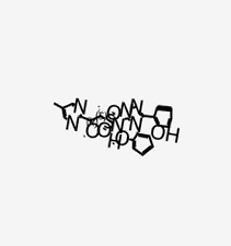 COc1cccc(O)c1-n1c(NS(=O)(=O)[C@@H](C)[C@H](OC)c2ncc(C)cn2)nnc1-c1c#cccc1